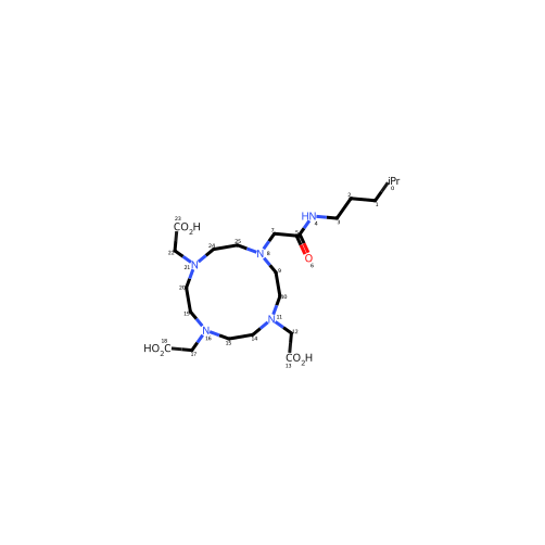 CC(C)CCCNC(=O)CN1CCN(CC(=O)O)CCN(CC(=O)O)CCN(CC(=O)O)CC1